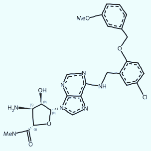 CNC(=O)[C@H]1O[C@@H](n2cnc3c(NCc4cc(Cl)ccc4OCc4cccc(OC)c4)ncnc32)[C@H](O)[C@@H]1N